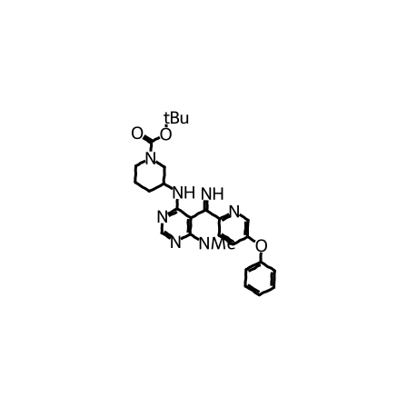 CNc1ncnc(NC2CCCN(C(=O)OC(C)(C)C)C2)c1C(=N)c1ccc(Oc2ccccc2)cn1